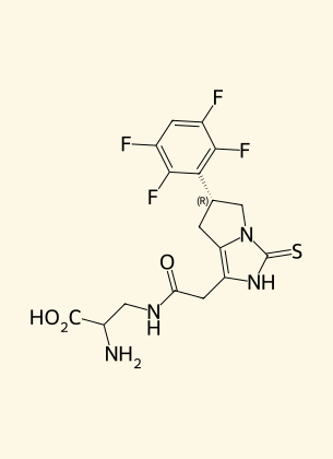 NC(CNC(=O)Cc1[nH]c(=S)n2c1C[C@H](c1c(F)c(F)cc(F)c1F)C2)C(=O)O